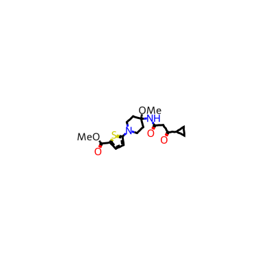 COC(=O)c1ccc(N2CCC(NC(=O)CC(=O)C3CC3)(OC)CC2)s1